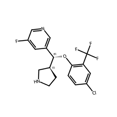 Fc1cncc([C@H](Oc2ccc(Cl)cc2C(F)(F)F)[C@H]2CCNC2)c1